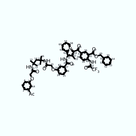 CC(=O)c1cccc(OCC(=O)NC(C)(C)CC(C)(C)NC(=O)COc2cccc(C(=O)Nc3c(C)c(C(=O)c4ccc(NC(=O)C(F)(F)F)c(C(=O)OCc5ccccc5)c4)n4ccccc34)c2)c1